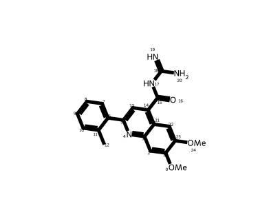 COc1cc2nc(-c3ccccc3C)cc(C(=O)NC(=N)N)c2cc1OC